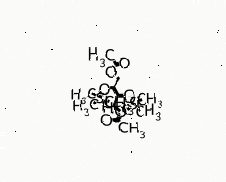 CC(=O)OC[C@H](O[Si](C)(C)C)[C@H](COC(C)=O)O[Si](C)(C)C